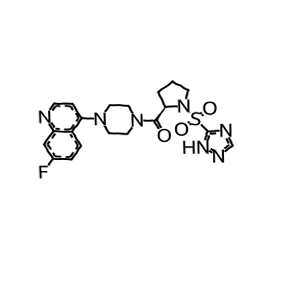 O=C([C@H]1CCCN1S(=O)(=O)c1ncn[nH]1)N1CCN(c2ccnc3cc(F)ccc23)CC1